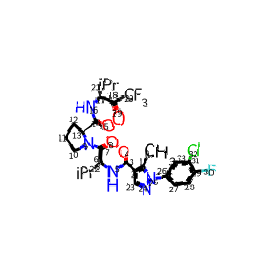 Cc1c(C(=O)N[C@H](C(=O)N2CCC[C@H]2C(=O)N[C@H](C(=O)C(F)(F)F)C(C)C)C(C)C)cnn1-c1ccc(F)c(Cl)c1